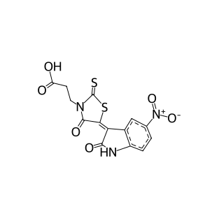 O=C(O)CCN1C(=O)C(=C2C(=O)Nc3ccc([N+](=O)[O-])cc32)SC1=S